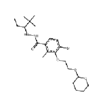 CCC(NNC(=O)c1ccc(Br)c(OCCOC2CCCCO2)c1C)C(C)(C)C